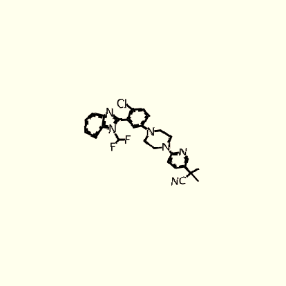 CC(C)(C#N)c1ccc(N2CCN(c3ccc(Cl)c(-c4nc5ccccc5n4C(F)F)c3)CC2)nc1